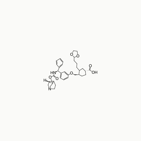 O=C(N[C@@H](c1ccccc1)c1cccc(OC[C@@H]2CC[C@@H](C(=O)O)CC2CCCC2OCCO2)c1)O[C@H]1CN2CCC1CC2